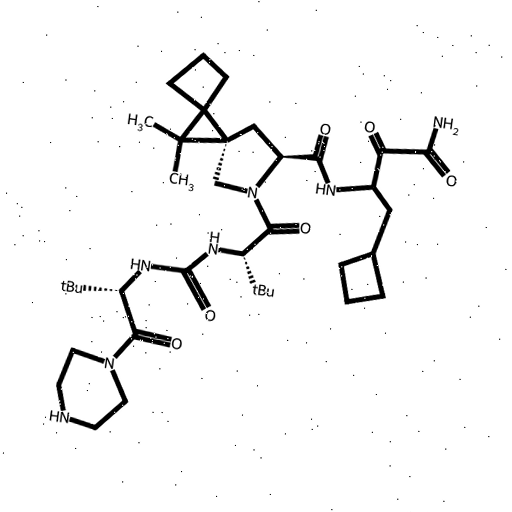 CC(C)(C)[C@H](NC(=O)N[C@H](C(=O)N1C[C@]2(C[C@H]1C(=O)NC(CC1CCC1)C(=O)C(N)=O)C(C)(C)C21CCC1)C(C)(C)C)C(=O)N1CCNCC1